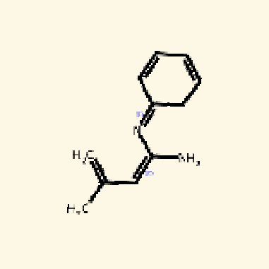 C=C(C)/C=C(N)\N=C1\C=CC=CC1